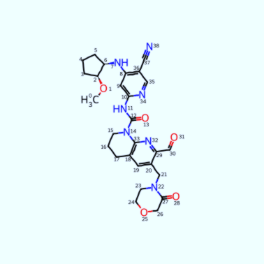 CO[C@H]1CCC[C@H]1Nc1cc(NC(=O)N2CCCc3cc(CN4CCOCC4=O)c(C=O)nc32)ncc1C#N